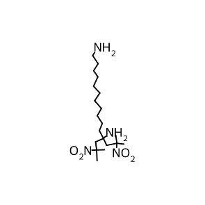 CC(C)(CC(N)(CCCCCCCCCCCN)CC(C)(C)[N+](=O)[O-])[N+](=O)[O-]